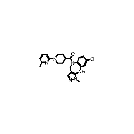 Cc1cccc(N2CCC(C(=O)N3Cc4cnn(C)c4Nc4cc(Cl)ccc43)CC2)n1